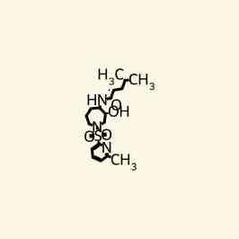 Cc1cccc(S(=O)(=O)N2CCCC(NC(=O)[CH]CC(C)C)[C@@H](O)C2)n1